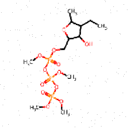 CCC1C(C)OC(COP(=O)(OC)OP(=O)(OC)OP(=O)(OC)OC)C1O